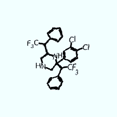 FC(F)(F)C(c1ccccc1)C1CNCC(c2ccc(Cl)c(Cl)c2)(C(c2ccccc2)C(F)(F)F)N1